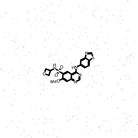 COc1cc2ncnc(Nc3ccc4scnc4c3)c2cc1S(=O)(=O)NC1COC1